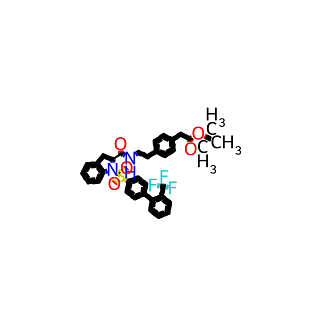 CC(C)(C)OC(=O)Cc1ccc(CCNC(=O)[C@@H]2Cc3ccccc3N2S(=O)(=O)c2ccc(-c3ccccc3C(F)(F)F)cc2)cc1